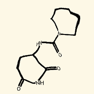 O=C1CCC(NC(=O)N2CCCCC2)C(=O)N1